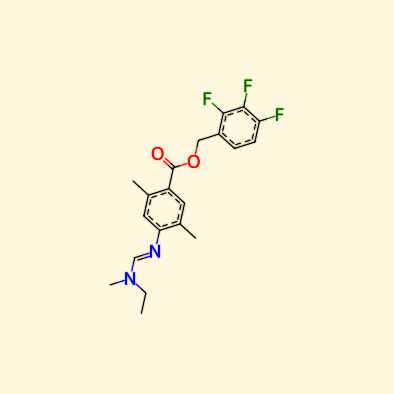 CCN(C)/C=N/c1cc(C)c(C(=O)OCc2ccc(F)c(F)c2F)cc1C